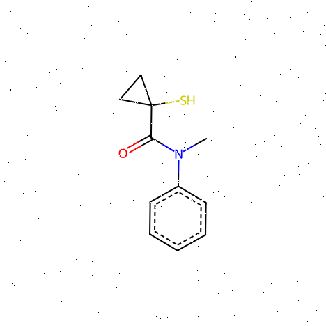 CN(C(=O)C1(S)CC1)c1ccccc1